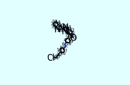 O=C(c1ccc(/C=C/c2ccc(C#CCCl)cc2)cc1)N1CCc2cnc(-c3cnc4ccccc4c3)nc2C1